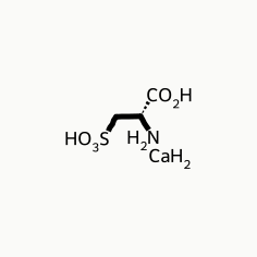 N[C@H](CS(=O)(=O)O)C(=O)O.[CaH2]